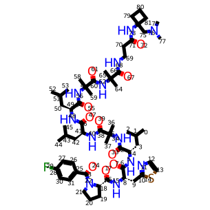 CC(C)C[C@H](NC(=O)[C@H](Cc1nccs1)NC(=O)[C@@H]1CCCN1C(=O)c1ccc(F)cc1)C(=O)NC(C)(C)C(=O)N[C@@H](CC(C)C)C(=O)N[C@@H](CC(C)C)C(=O)NC(C)(C)C(=O)NC(C)(C)C(=O)NCCC(=O)NC1(CN(C)C)CCC1